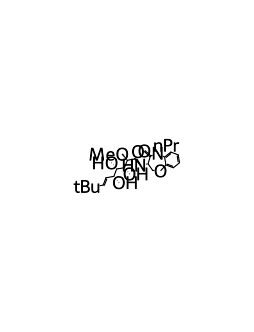 CCCN1C(=O)[C@@H](NC(=O)[C@H](OC)[C@H](O)[C@@H](O)[C@H](O)/C=C/C(C)(C)C)COc2ccccc21